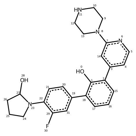 Oc1c(-c2ccnc(N3CCNCC3)c2)cccc1-c1ccc(N2CCCC2O)c(F)c1